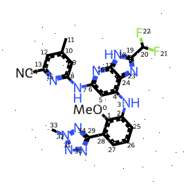 COc1c(Nc2cc(Nc3cc(C)cc(C#N)n3)nc3[nH]c(C(F)F)nc23)cccc1-c1nnn(C)n1